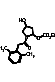 CCOC(=O)OC1CC(O)CN1C(=O)Cc1c(C)cccc1C